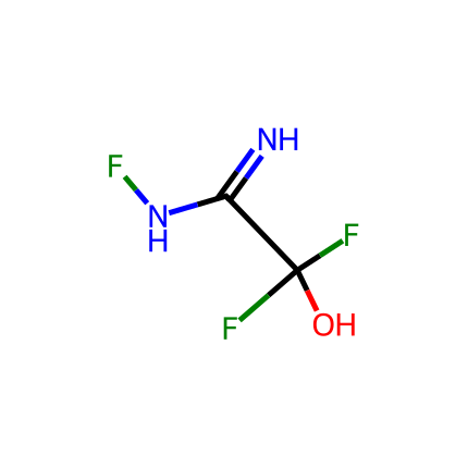 N=C(NF)C(O)(F)F